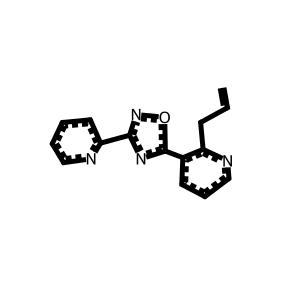 C=CCc1ncccc1-c1nc(-c2ccccn2)no1